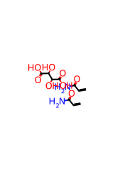 C=CC(N)=O.C=CC(N)=O.O=C(O)C(O)C(O)C(=O)O